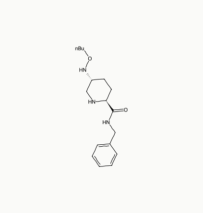 CCCCON[C@@H]1CC[C@@H](C(=O)NCc2ccccc2)NC1